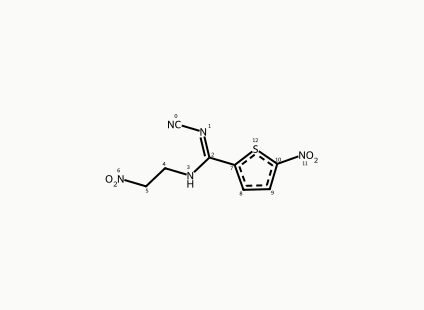 N#CN=C(NCC[N+](=O)[O-])c1ccc([N+](=O)[O-])s1